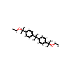 CCOC(C)(C)c1ccc(C(C)(C)c2ccc(C(C)(C)OCC)cc2)cc1